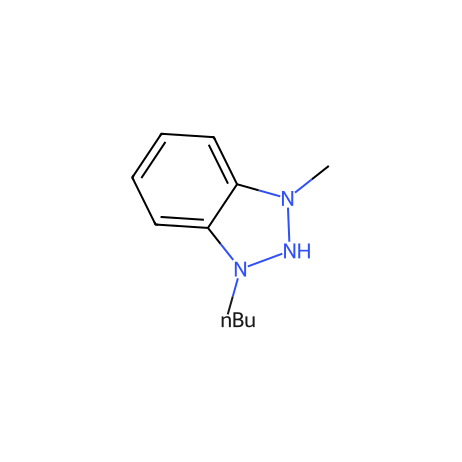 CCCCN1NN(C)c2ccccc21